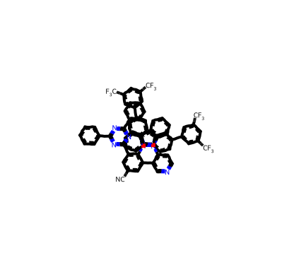 N#Cc1cc(-c2nc(-c3ccccc3)nc(-c3ccccc3)n2)c(-n2c3ccc(-c4cc(C(F)(F)F)cc(C(F)(F)F)c4)cc3c3cc(-c4cc(C(F)(F)F)cc(C(F)(F)F)c4)ccc32)c(-c2cnccc2-n2c3ccccc3c3ccccc32)c1